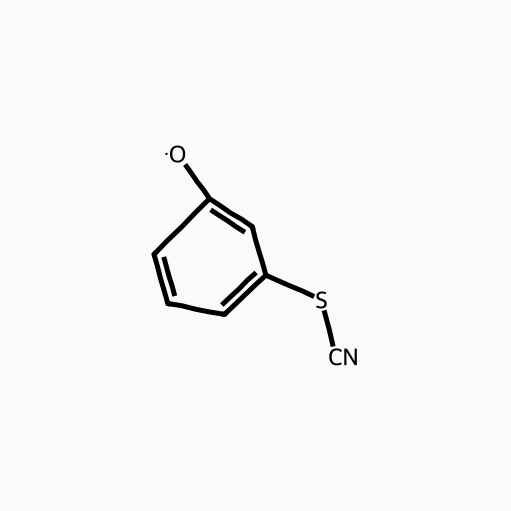 N#CSc1cccc([O])c1